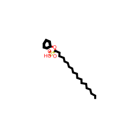 CCCCCCCCCCCCCCCCCCC(Oc1ccccc1)S(=O)(=O)O